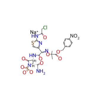 CC(C)(ON=C(C(=O)N[C@H]1C(=O)N(S(=O)(=O)[O-])[C@H]1C(N)=O)c1csc(NC(=O)CCl)n1)C(=O)OCc1ccc([N+](=O)[O-])cc1.[Na+]